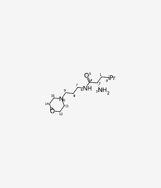 CC(C)C[C@H](N)C(=O)NCCCN1CCOCC1